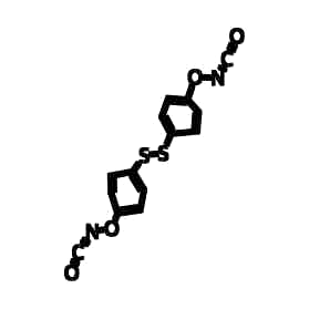 O=C=NOc1ccc(SSc2ccc(ON=C=O)cc2)cc1